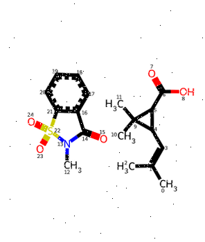 CC(C)=CC1C(C(=O)O)C1(C)C.CN1C(=O)c2ccccc2S1(=O)=O